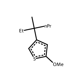 CCCC(C)(CC)c1csc(OC)c1